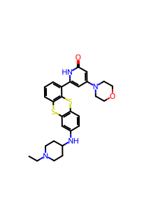 CCN1CCC(Nc2ccc3c(c2)Sc2cccc(-c4cc(N5CCOCC5)cc(=O)[nH]4)c2S3)CC1